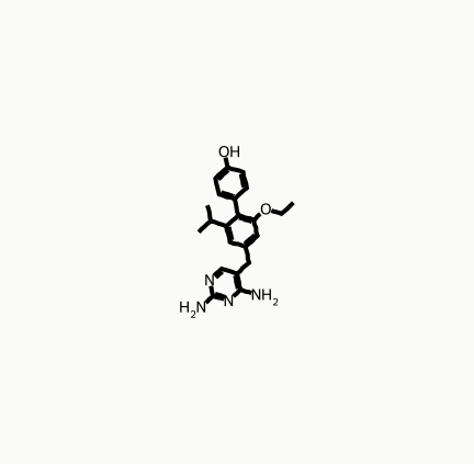 CCOc1cc(Cc2cnc(N)nc2N)cc(C(C)C)c1-c1ccc(O)cc1